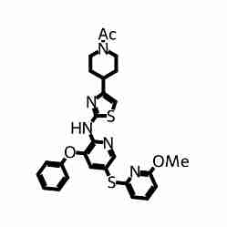 COc1cccc(Sc2cnc(Nc3nc(C4CCN(C(C)=O)CC4)cs3)c(Oc3ccccc3)c2)n1